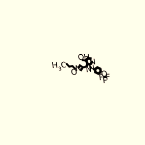 CCCCC(=O)N1CC(c2nn(-c3ccc(OC(F)(F)F)cc3)c3nccc(CO)c23)C1